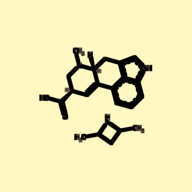 CC1CC(C)N1.CN1C[C@H](C(=O)O)C=C2c3cccc4[nH]cc(c34)C[C@H]21